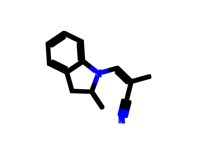 CC(C#N)=CN1c2ccccc2CC1C